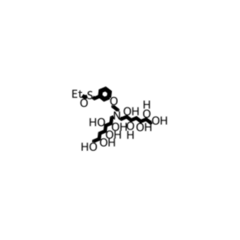 CCC(=O)SCc1cccc(OCCN(C[C@H](O)[C@@H](O)[C@H](O)C[C@H](O)CO)C[C@H](O)[C@@H](O)C[C@H](O)[C@H](O)CO)c1